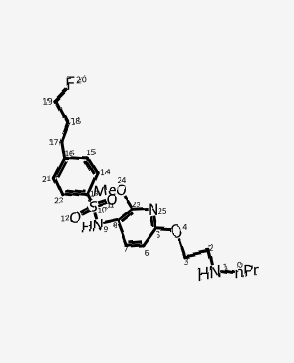 CCCNCCOc1ccc(NS(=O)(=O)c2ccc(CCCF)cc2)c(OC)n1